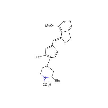 CCc1cc(C=C2CCc3cccc(OC)c32)ccc1C1CCN(C(=O)O)C(C(C)(C)C)C1